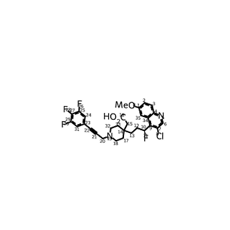 COc1ccc2ncc(Cl)c([C@@H](F)CCC3(CC(=O)O)CCN(CC#Cc4cc(F)c(F)c(F)c4)CC3)c2c1